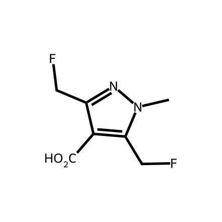 Cn1nc(CF)c(C(=O)O)c1CF